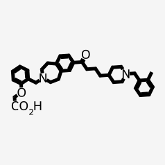 Cc1ccccc1CN1CCC(CCCC(=O)c2ccc3c(c2)CCN(Cc2ccccc2OCC(=O)O)CC3)CC1